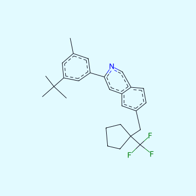 Cc1cc(-c2cc3cc(CC4(C(F)(F)F)CCCC4)ccc3cn2)cc(C(C)(C)C)c1